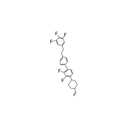 C=CC1CCC(c2ccc(-c3ccc(CCc4cc(F)c(F)c(F)c4)cc3)c(F)c2F)CC1